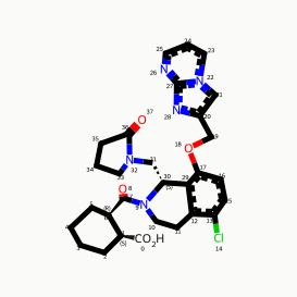 O=C(O)[C@H]1CCCC[C@H]1C(=O)N1CCc2c(Cl)ccc(OCc3cn4cccnc4n3)c2[C@H]1CN1CCCC1=O